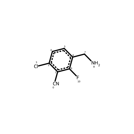 N#Cc1c(Cl)ccc(CN)c1F